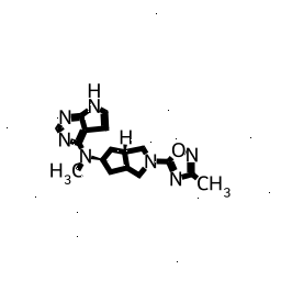 Cc1noc(N2CC3C[C@@H](N(C)c4ncnc5[nH]ccc45)C[C@@H]3C2)n1